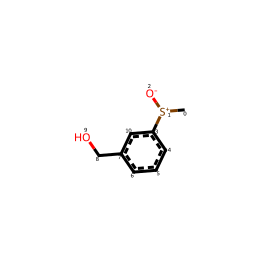 C[S+]([O-])c1cccc(CO)c1